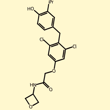 CC(C)c1cc(Cc2c(Cl)cc(OCC(=O)NC3COC3)cc2Cl)ccc1O